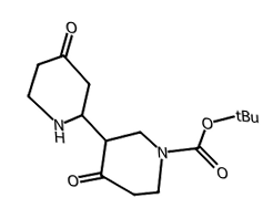 CC(C)(C)OC(=O)N1CCC(=O)C(C2CC(=O)CCN2)C1